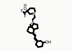 CC12CCC/C(=C\C=C3\CCCC(O)C3)C1CC[C@@H]2CCN1CCCC(O)(C(F)F)C1